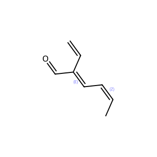 C=C/C(C=O)=C\C=C/C